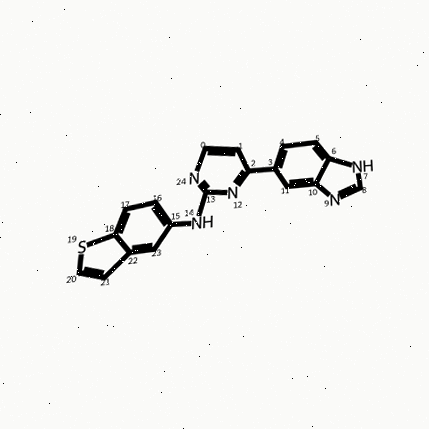 c1cc(-c2ccc3[nH]cnc3c2)nc(Nc2ccc3sccc3c2)n1